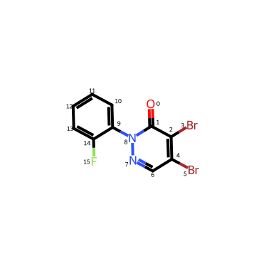 O=c1c(Br)c(Br)cnn1-c1ccccc1F